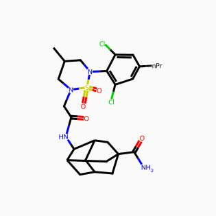 CCCc1cc(Cl)c(N2CC(C)CN(CC(=O)NC3C4CC5CC3CC(C(N)=O)(C5)C4)S2(=O)=O)c(Cl)c1